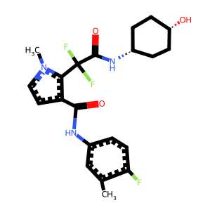 Cc1cc(NC(=O)c2ccn(C)c2C(F)(F)C(=O)N[C@H]2CC[C@@H](O)CC2)ccc1F